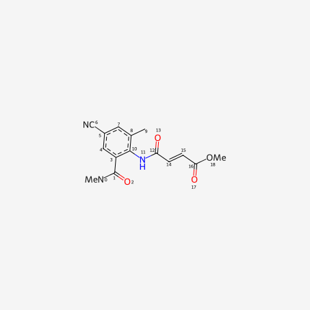 CNC(=O)c1cc(C#N)cc(C)c1NC(=O)/C=C/C(=O)OC